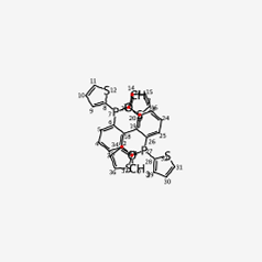 COc1cccc(P(c2cccs2)c2cccs2)c1-c1c(OC)cccc1P(c1cccs1)c1cccs1